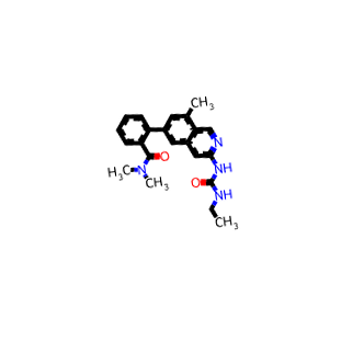 CCNC(=O)Nc1cc2cc(-c3ccccc3C(=O)N(C)C)cc(C)c2cn1